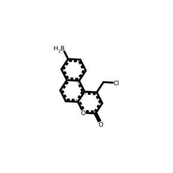 Bc1ccc2c(ccc3oc(=O)cc(CCl)c32)c1